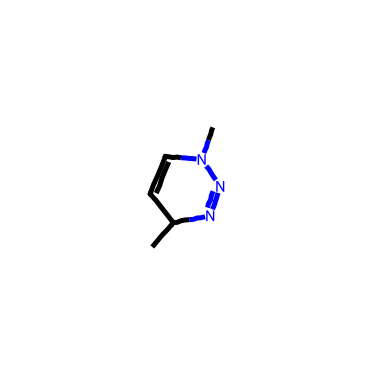 C[C]1C=CN(C)N=N1